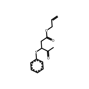 C=CCOC(=O)CC(Sc1ccccc1)C(C)=O